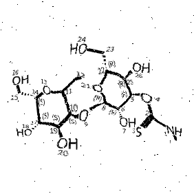 CNC(=S)O[C@H]1[C@H](O)[C@@H](O[C@@H]2C(C)O[C@@H](CO)[C@@H](O)[C@@H]2O)O[C@H](CO)[C@H]1O